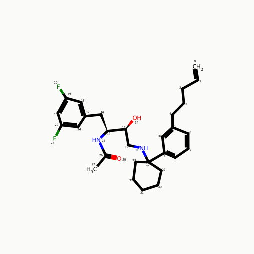 C=CCCCc1cccc(C2(NC[C@H](O)[C@H](Cc3cc(F)cc(F)c3)NC(C)=O)CCCCC2)c1